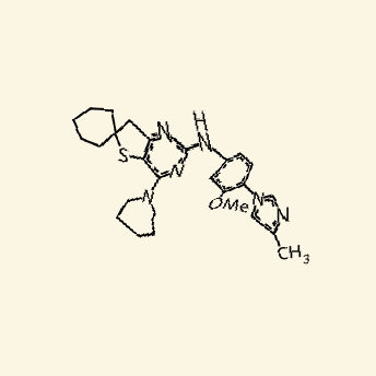 COc1cc(Nc2nc3c(c(N4CCCCC4)n2)SC2(CCCCC2)C3)ccc1-n1cnc(C)c1